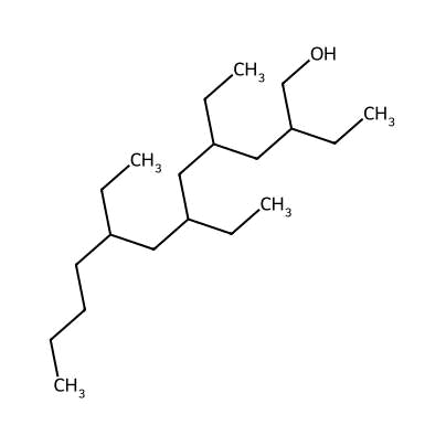 CCCCC(CC)CC(CC)CC(CC)CC(CC)CO